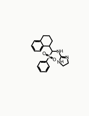 O=S(=O)(c1ccccc1)C(NC1=NCCN1)C1CCCc2ccccc21